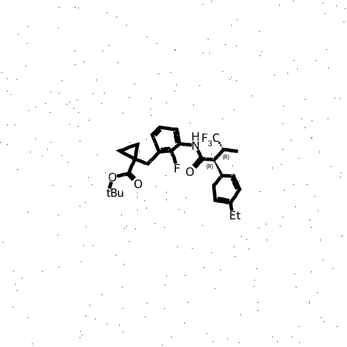 CCC1=CCC([C@@H](C(=O)Nc2cccc(CC3(C(=O)OC(C)(C)C)CC3)c2F)[C@@H](C)C(F)(F)F)C=C1